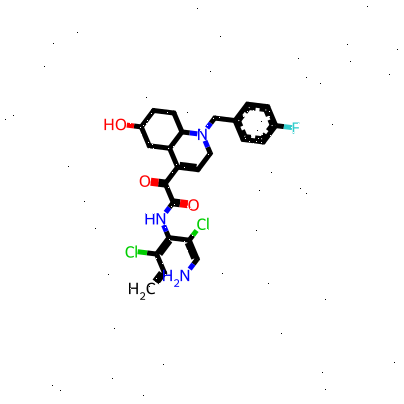 C=C/C(Cl)=C(NC(=O)C(=O)C1=CCN(Cc2ccc(F)cc2)C2CCC(O)CC12)\C(Cl)=C/N